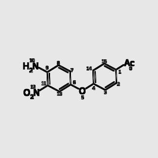 CC(=O)c1ccc(Oc2ccc(N)c([N+](=O)[O-])c2)cc1